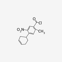 Cc1cc(C2CC=CCC2)c([N+](=O)[O-])cc1C(=O)Cl